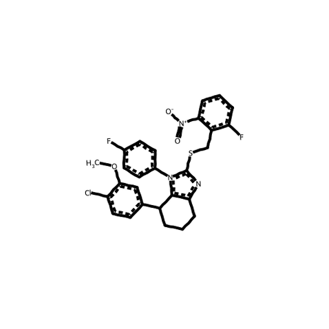 COc1cc(C2CCCc3nc(SCc4c(F)cccc4[N+](=O)[O-])n(-c4ccc(F)cc4)c32)ccc1Cl